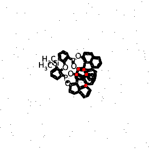 C[Si]1(C)c2cccc(-p3oc4ccc5ccccc5c4c4c(ccc5ccccc54)o3)c2Oc2c(-p3oc4ccc5ccccc5c4c4c(ccc5ccccc54)o3)cccc21